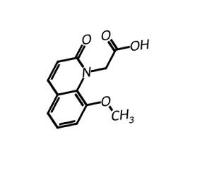 COc1cccc2ccc(=O)n(CC(=O)O)c12